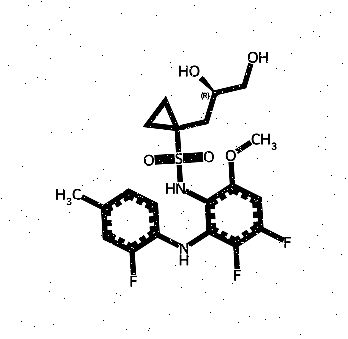 COc1cc(F)c(F)c(Nc2ccc(C)cc2F)c1NS(=O)(=O)C1(C[C@@H](O)CO)CC1